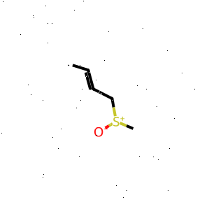 [CH2]C=CC[S+](C)[O-]